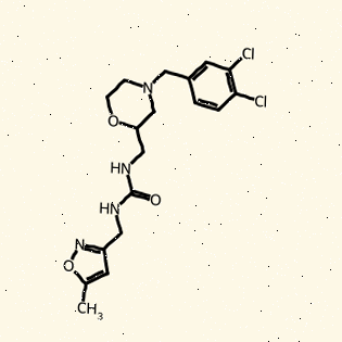 Cc1cc(CNC(=O)NCC2CN(Cc3ccc(Cl)c(Cl)c3)CCO2)no1